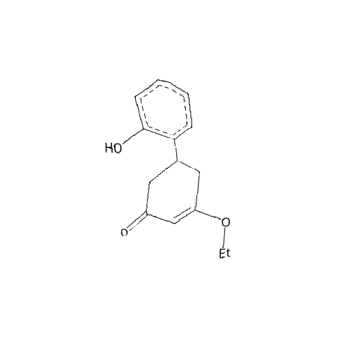 CCOC1=CC(=O)CC(c2ccccc2O)C1